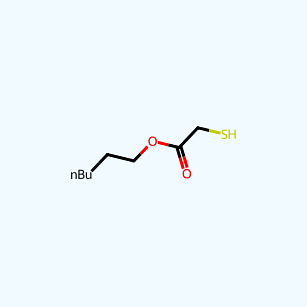 CCCCCCOC(=O)CS